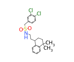 CC1(C)CCC(CCNS(=O)(=O)Cc2ccc(Cl)c(Cl)c2)c2ccccc21